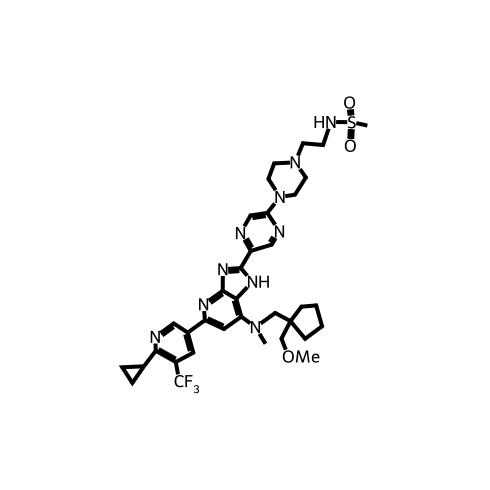 COCC1(CN(C)c2cc(-c3cnc(C4CC4)c(C(F)(F)F)c3)nc3nc(-c4cnc(N5CCN(CCNS(C)(=O)=O)CC5)cn4)[nH]c23)CCCC1